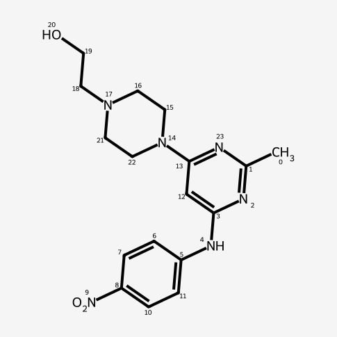 Cc1nc(Nc2ccc([N+](=O)[O-])cc2)cc(N2CCN(CCO)CC2)n1